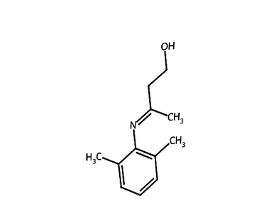 C/C(CCO)=N\c1c(C)cccc1C